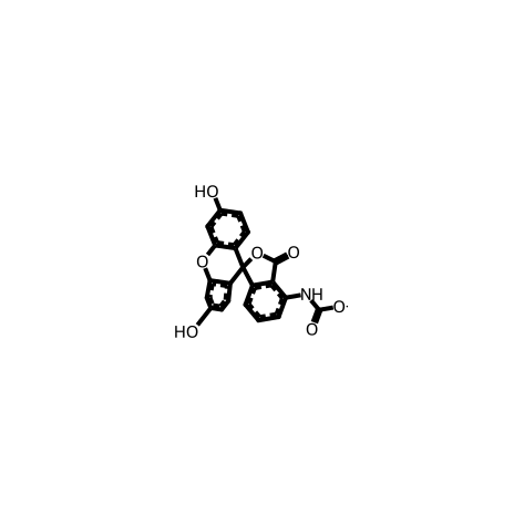 [O]C(=O)Nc1cccc2c1C(=O)OC21c2ccc(O)cc2Oc2cc(O)ccc21